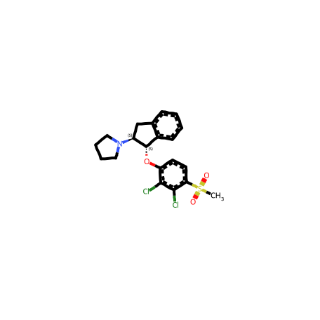 CS(=O)(=O)c1ccc(O[C@H]2c3ccccc3C[C@@H]2N2CCCC2)c(Cl)c1Cl